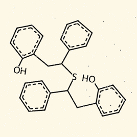 Oc1ccccc1CC(SC(Cc1ccccc1O)c1ccccc1)c1ccccc1